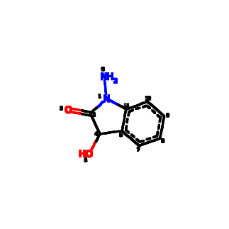 NN1C(=O)C(O)c2ccccc21